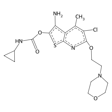 Cc1c(Cl)c(OCCN2CCOCC2)nc2sc(OC(=O)NC3CC3)c(N)c12